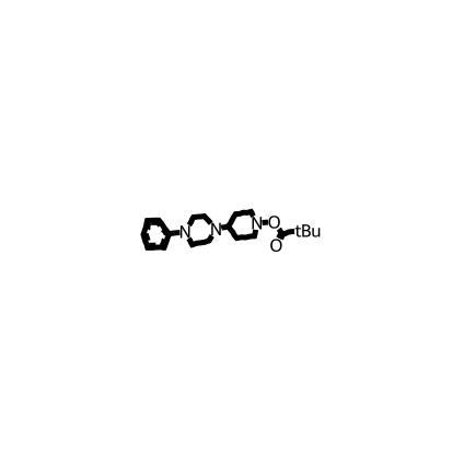 CC(C)(C)C(=O)ON1CCC(N2CCN(c3ccccc3)CC2)CC1